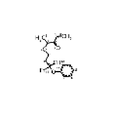 C=CC(=O)C(C)OCCC(C)(CC)Oc1ccccc1